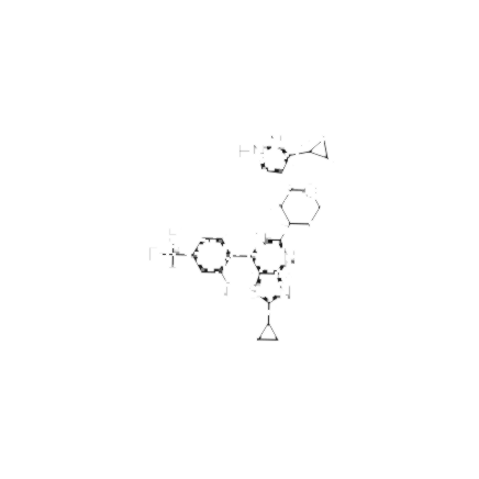 Fc1cc(C(F)(F)F)ccc1-c1nc(C2CCO[C@@H](c3c[nH]nc3C3CC3)C2)nc2nc(C3CC3)sc12